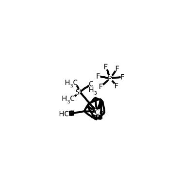 C#C[C]12[CH]3[CH]4[CH]5[C]1([Si](C)(C)C)[Co]43521678[CH]2[CH]1[CH]6[CH]7[CH]28.F[P-](F)(F)(F)(F)F